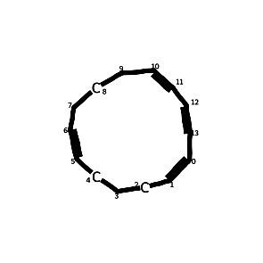 [C]1=CCCCC=CCCCC=CC=C1